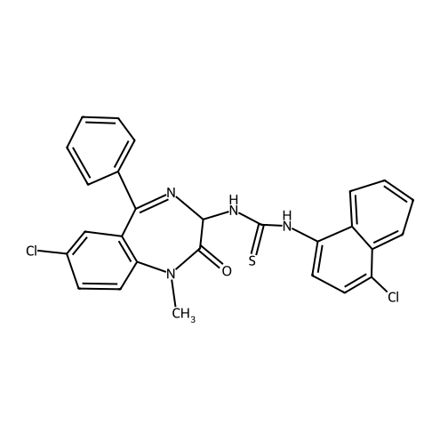 CN1C(=O)C(NC(=S)Nc2ccc(Cl)c3ccccc23)N=C(c2ccccc2)c2cc(Cl)ccc21